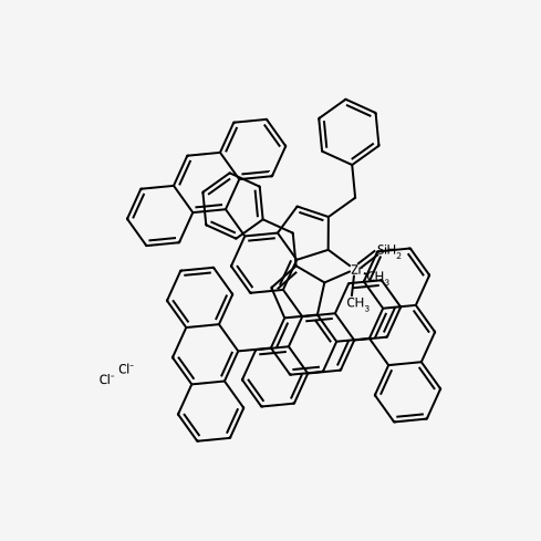 [CH3][Zr]([CH3])(=[SiH2])([CH]1C(Cc2ccccc2)=Cc2c(-c3c4ccccc4cc4ccccc34)ccc(-c3c4ccccc4cc4ccccc34)c21)[CH]1C(Cc2ccccc2)=Cc2c(-c3c4ccccc4cc4ccccc34)ccc(-c3c4ccccc4cc4ccccc34)c21.[Cl-].[Cl-]